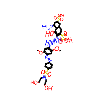 COc1cc(NNc2c(S(=O)(=O)O)cc3cc(S(=O)(=O)O)cc(N)c3c2O)c(OC)cc1/N=N/c1ccc(S(=O)(=O)N(CCO)CCO)cc1